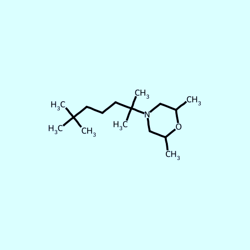 CC1CN(C(C)(C)CCCC(C)(C)C)CC(C)O1